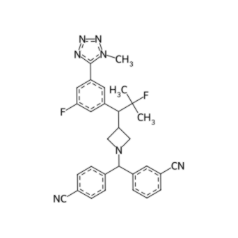 Cn1nnnc1-c1cc(F)cc(C(C2CN(C(c3ccc(C#N)cc3)c3cccc(C#N)c3)C2)C(C)(C)F)c1